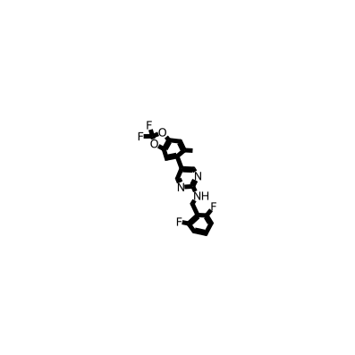 Cc1cc2c(cc1-c1cnc(NCc3c(F)cccc3F)nc1)OC(F)(F)O2